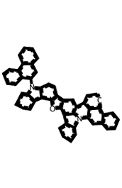 c1ccc2c(c1)cc(-n1c3ccccc3c3c4oc5c(cc6c7cccc8c9ccccc9cc(c87)n7c8ccccc8c5c67)c4ccc31)c1ccccc12